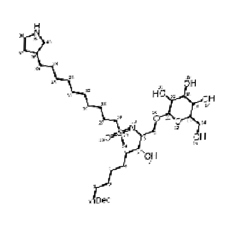 CCCCCCCCCCCCCCC[C@@H](O)[C@H](COC1OC(CO)C(O)C(O)C1O)N=S(C)(=O)CCCCCCCCCCC1CCNC1